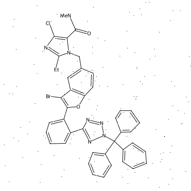 CCc1nc(Cl)c(C(=O)NC)n1Cc1ccc2oc(-c3ccccc3-c3nnn(C(c4ccccc4)(c4ccccc4)c4ccccc4)n3)c(Br)c2c1